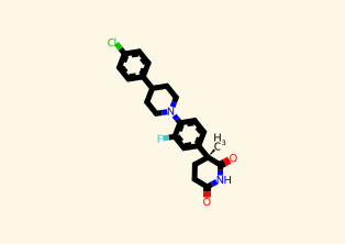 C[C@@]1(c2ccc(N3CCC(c4ccc(Cl)cc4)CC3)c(F)c2)CCC(=O)NC1=O